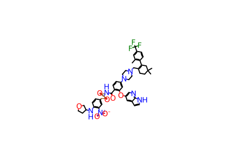 Cc1cc(C(F)(F)F)ccc1C1=C(CN2CCN(c3ccc(C(=O)NS(=O)(=O)c4ccc(NC5CCOC5)c([N+](=O)[O-])c4)c(Oc4cnc5[nH]ccc5c4)c3)CC2)CCC(C)(C)C1